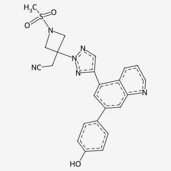 CS(=O)(=O)N1CC(CC#N)(n2ncc(-c3cc(-c4ccc(O)cc4)cc4ncccc34)n2)C1